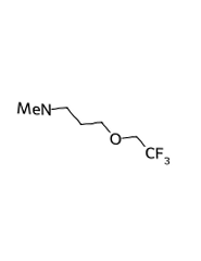 CNCCCOCC(F)(F)F